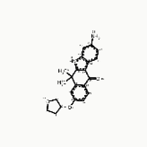 CC1(C)c2cc(O[C@@H]3CCOC3)ccc2C(=O)c2c1[nH]c1cc(N)ccc21